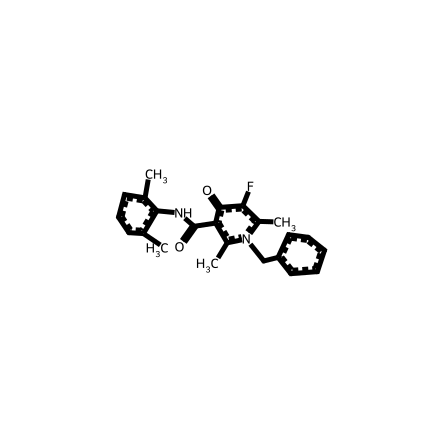 Cc1cccc(C)c1NC(=O)c1c(C)n(Cc2ccccc2)c(C)c(F)c1=O